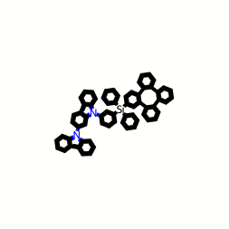 c1ccc([Si](c2ccccc2)(c2cccc(-n3c4ccccc4c4ccc(-n5c6ccccc6c6ccccc65)cc43)c2)c2ccc3c(c2)-c2ccccc2-c2ccccc2-c2ccccc2-3)cc1